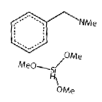 CNCc1ccccc1.CO[SiH](OC)OC